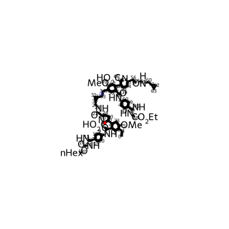 C=Cc1cc(C(=O)Nc2ccc(C(=N)NC(=O)OCCCCCC)cc2)c(-c2ccc(C(=O)NCC3CC3/C=C/c3cc(C(=O)Nc4ccc(C(=N)NC(=O)OCC)cc4)c(-c4ccc(COCNCC5CC5)nc4C(=O)O)cc3OC)nc2C(=O)O)cc1OC